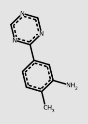 Cc1ccc(-c2ncncn2)cc1N